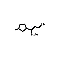 CN/C(=C\C=N)C1CCC(F)C1